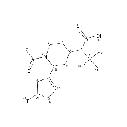 CC(=O)N1CCC(N(C(=O)O)C(C)(C)C)CC1c1csc(Cl)c1